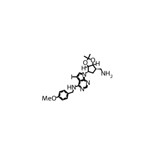 COc1ccc(CNc2ncnc3c2c(I)cn3[C@@H]2C[C@H](CN)[C@H]3OC(C)(C)O[C@H]32)cc1